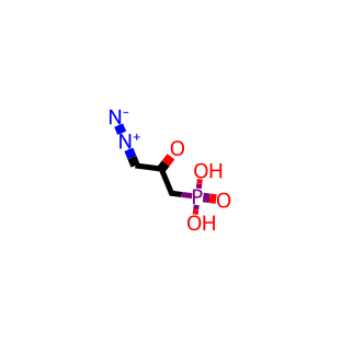 [N-]=[N+]=CC(=O)CP(=O)(O)O